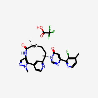 Cc1ccnc(-c2cc(=O)n([C@H]3CCC[C@@H](C)C(=O)Nc4cnn(C)c4-c4ccnc3c4)cn2)c1F.O=C(O)C(F)(F)F